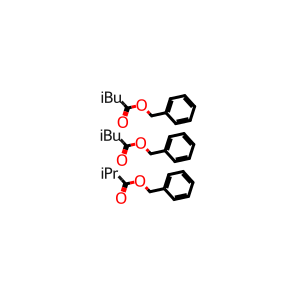 CC(C)C(=O)OCc1ccccc1.CCC(C)C(=O)OCc1ccccc1.CCC(C)C(=O)OCc1ccccc1